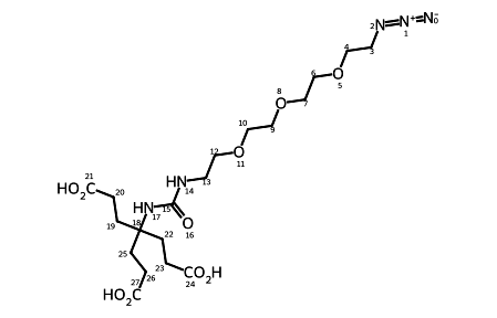 [N-]=[N+]=NCCOCCOCCOCCNC(=O)NC(CCC(=O)O)(CCC(=O)O)CCC(=O)O